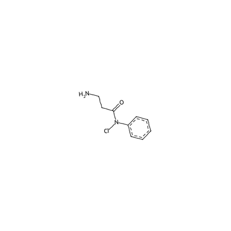 NCCC(=O)N(Cl)c1ccccc1